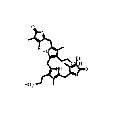 CCC1=C(C)C(Cc2[nH]c(Cc3[nH]c(CC4=NC(=O)C(C)=C4CC)c(C)c3CCC(=O)O)c(CCC(=O)O)c2C)=NC1=O